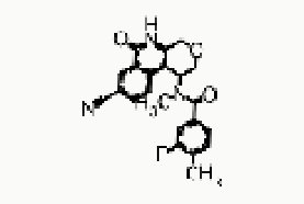 Cc1ccc(C(=O)N(C)C2COCc3[nH]c(=O)c4cc(C#N)ccc4c32)cc1F